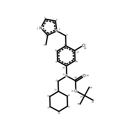 Cc1nccn1Cc1ccc(N(CC2CCCCC2)C(=O)OC(C)(C)C)cc1Cl